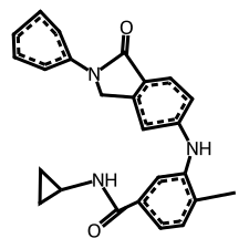 Cc1ccc(C(=O)NC2CC2)cc1Nc1ccc2c(c1)CN(c1ccccc1)C2=O